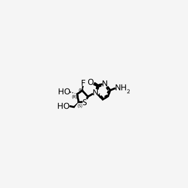 Nc1ccn(C2S[C@@H](CO)[C@H](O)[C@H]2F)c(=O)n1